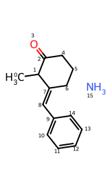 CC1C(=O)CCCC1=Cc1ccccc1.N